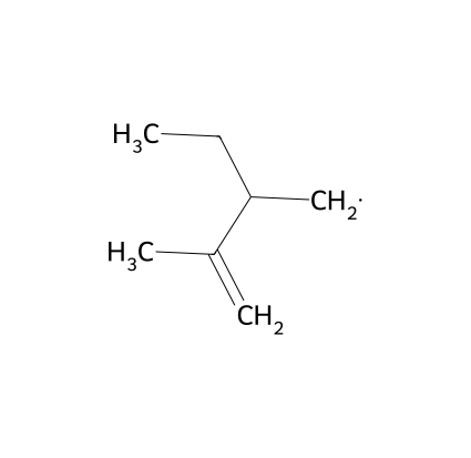 [CH2]C(CC)C(=C)C